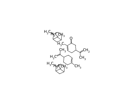 C=C(C)C1CC=C(C)C(=O)C1.C=C(C)C1CC=C(C)CC1.C=C1CCC2CC1C2(C)C.CC1=CCC2CC1C2(C)C